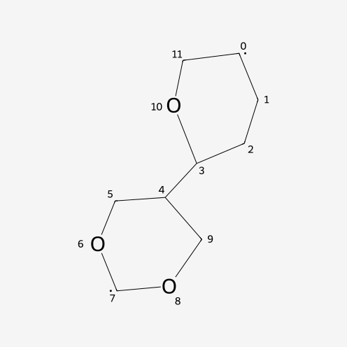 [CH]1CCC(C2CO[CH]OC2)OC1